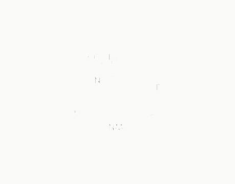 CNC1COCc2c1c1cc(F)c(F)cc1c(=O)n2CC(=O)O